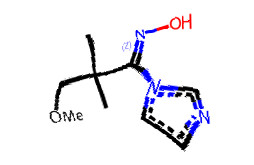 COCC(C)(C)/C(=N/O)n1ccnc1